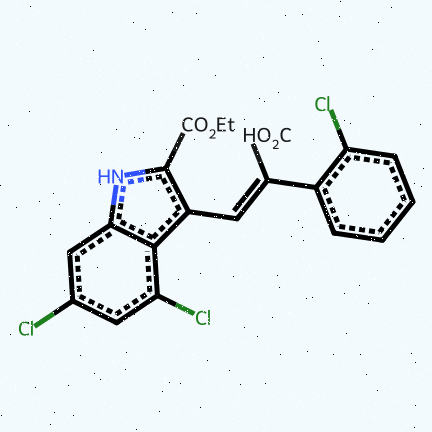 CCOC(=O)c1[nH]c2cc(Cl)cc(Cl)c2c1/C=C(\C(=O)O)c1ccccc1Cl